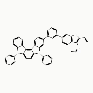 C=Cc1sc2cc(-c3cccc(-c4ccc5c6c7c8ccccc8n(-c8ccccc8)c7ccc6n(-c6ccccc6)c5c4)c3)ccc2c1/N=C\C